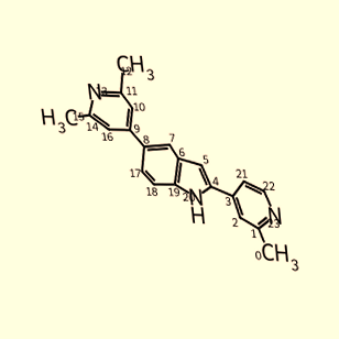 Cc1cc(-c2cc3cc(-c4cc(C)nc(C)c4)ccc3[nH]2)ccn1